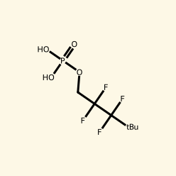 CC(C)(C)C(F)(F)C(F)(F)COP(=O)(O)O